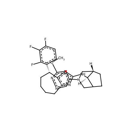 COc1cc(N2CC3CC[C@@H](C2)[C@@H]3Nc2nc3n(n2)CCCC[C@@H]3c2ccc(F)c(F)c2F)cnn1